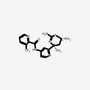 C[C@@H]1C[C@@](C)(c2cc(NC(=O)c3ncccc3C(F)(F)F)ccn2)N=C(N)S1